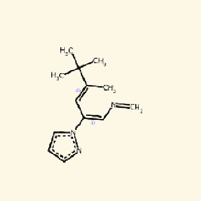 C=N/C=C(\C=C(/C)C(C)(C)C)n1cccn1